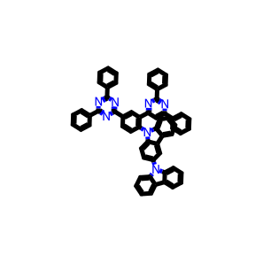 c1ccc(-c2cc(-c3cc(-c4nc(-c5ccccc5)nc(-c5ccccc5)n4)ccc3-n3c4ccccc4c4cc(-n5c6ccccc6c6ccccc65)ccc43)nc(-c3ccccc3)n2)cc1